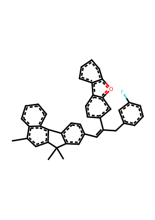 Cc1cc2c(c3ccccc13)-c1ccc(/C=C(/Cc3cccc(F)c3)c3ccc4c(c3)oc3ccccc34)cc1C2(C)C